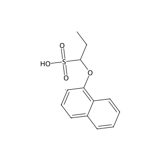 CCC(Oc1[c]ccc2ccccc12)S(=O)(=O)O